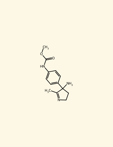 COC(=O)Nc1ccc(C2(N)CCN=C2C)cc1